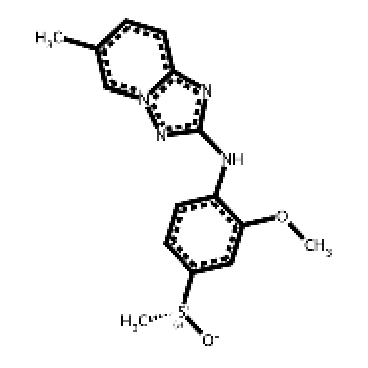 COc1cc([S@@+](C)[O-])ccc1Nc1nc2ccc(C)cn2n1